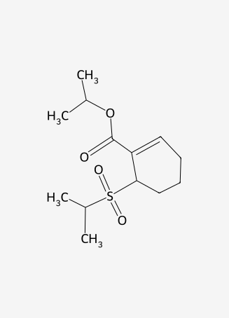 CC(C)OC(=O)C1=CCCCC1S(=O)(=O)C(C)C